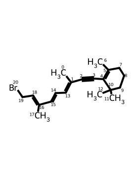 CC(C#CC1=C(C)CCCC1(C)C)=CC=CC(C)=CCBr